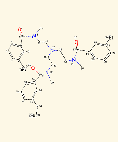 CCCc1cccc(C(=O)N(C)CCN(CCN(C)C(=O)c2cccc(CC)c2)CCN(C)C(=O)c2cccc(CC(C)CC)c2)c1